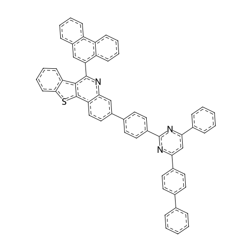 c1ccc(-c2ccc(-c3cc(-c4ccccc4)nc(-c4ccc(-c5ccc6c(c5)nc(-c5cc7ccccc7c7ccccc57)c5c7ccccc7sc65)cc4)n3)cc2)cc1